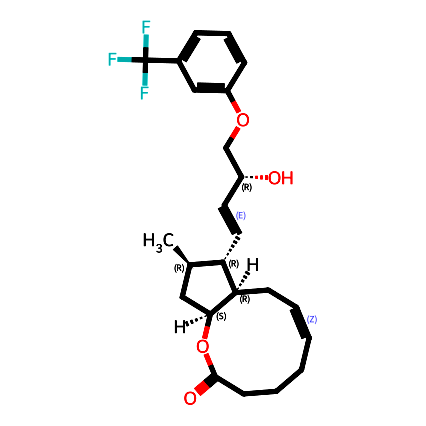 C[C@@H]1C[C@@H]2OC(=O)CCC/C=C\C[C@@H]2[C@H]1/C=C/[C@@H](O)COc1cccc(C(F)(F)F)c1